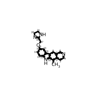 Cc1c2ccncc2cc2c1[nH]c1ccc(OCC3=NCCN3)cc12